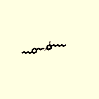 CCCCCCCc1ccc(OCCCC2CCC(CCCCC)CC2)cc1F